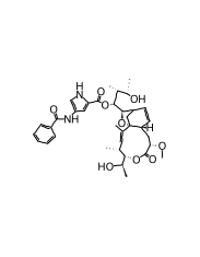 CO[C@H]1C[C@H]2C=CC3C[C@]2(O[C@H]3[C@H](OC(=O)c2cc(NC(=O)c3ccccc3)c[nH]2)[C@H](C)[C@H](C)O)/C(C)=C/[C@@H](C)[C@@H]([C@@H](C)O)OC1=O